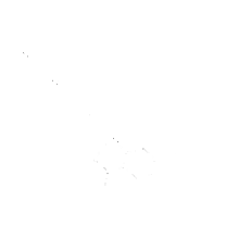 O=c1[nH]c(CSC2CCN(C3CNC3)CC2)nc2cc(OCC3CCOCC3)cc(F)c12